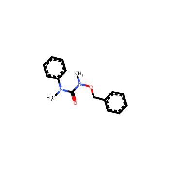 CN(OCc1ccccc1)C(=O)N(C)c1ccccc1